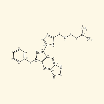 CN(C)CCOCc1ccc(-c2nn(Cc3ccccc3)c3cc4c(cc23)OCO4)o1